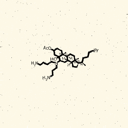 CC(=O)OC1CC[C@]2(C)[C@H]3CC[C@]4(C)[C@@H]([C@H](C)CCCC(C)C)CC[C@H]4[C@@H]3CC(N(CCCN)CCCCN)C2(O)C1